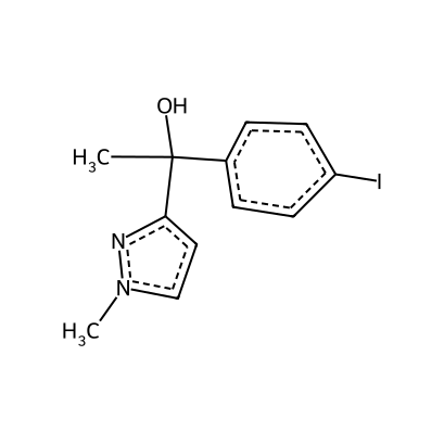 Cn1ccc(C(C)(O)c2ccc(I)cc2)n1